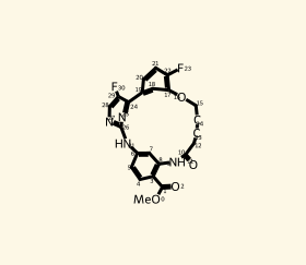 COC(=O)c1ccc2cc1NC(=O)CCCCOc1cc(ccc1F)-c1nc(ncc1F)N2